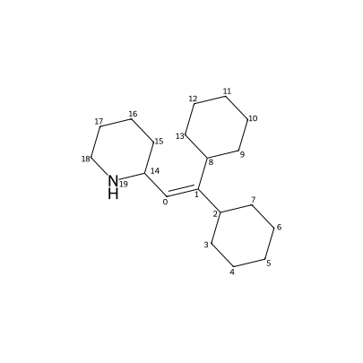 C(=C(C1CCCCC1)C1CCCCC1)C1CCCCN1